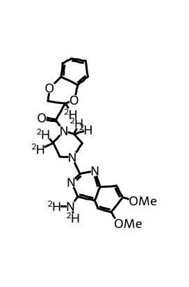 [2H]N([2H])c1nc(N2CC([2H])([2H])N(C(=O)C3([2H])COc4ccccc4O3)C([2H])([2H])C2)nc2cc(OC)c(OC)cc12